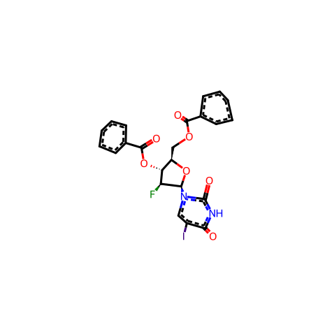 O=C(OC[C@H]1O[C@@H](n2cc(I)c(=O)[nH]c2=O)[C@@H](F)[C@@H]1OC(=O)c1ccccc1)c1ccccc1